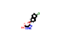 O=C(O)c1[nH]nnc1Oc1ccc2cc(Cl)ccc2c1